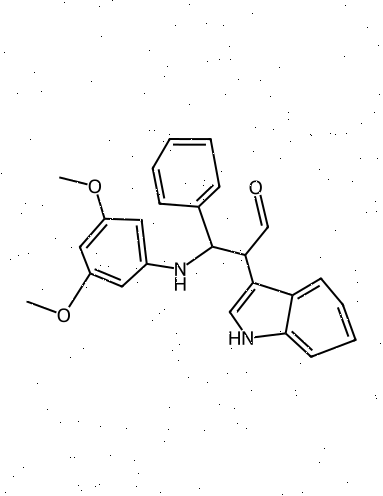 COc1cc(NC(c2ccccc2)C(C=O)c2c[nH]c3ccccc23)cc(OC)c1